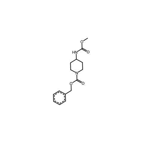 COC(=O)NC1CCN(C(=O)OCc2ccccc2)CC1